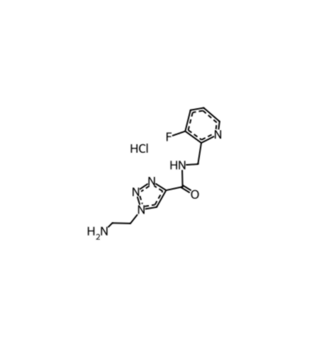 Cl.NCCn1cc(C(=O)NCc2ncccc2F)nn1